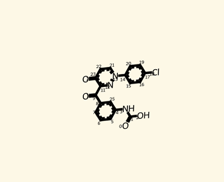 O=C(O)Nc1cccc(C(=O)c2nn(-c3ccc(Cl)cc3)ccc2=O)c1